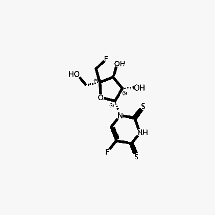 OC[C@@]1(CF)O[C@@H](n2cc(F)c(=S)[nH]c2=S)[C@@H](O)C1O